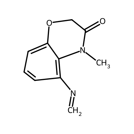 C=Nc1cccc2c1N(C)C(=O)CO2